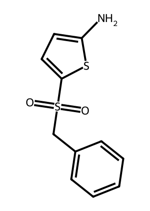 Nc1ccc(S(=O)(=O)Cc2ccccc2)s1